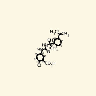 C=C(C)c1cccc(C(C)(C)NC(=O)Nc2ccc(Cl)c(C(=O)O)c2)c1